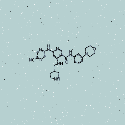 N#Cc1cnc(Nc2cc(NCC3CCNCC3)c(C(=O)Nc3cccc(N4CCOCC4)c3)cn2)cn1